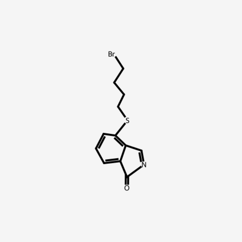 O=C1N=Cc2c(SCCCCBr)cccc21